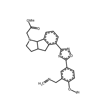 C=NCc1cc(-c2nc(-c3cccc4c3CC3CCN(CC(=O)OC)C43)no2)ccc1OC(C)C